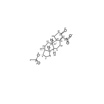 CC(=O)O[C@H]1CC[C@H]2[C@@H]3CCC4=C([N+](=O)[O-])C(=O)CC[C@]4(C)[C@H]3CC[C@]12C